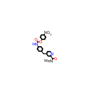 CNC(=O)c1cc(Cc2ccc(NC(=O)Oc3ccc([N+](=O)[O-])cc3)cc2)ccn1